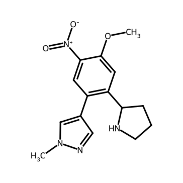 COc1cc(C2CCCN2)c(-c2cnn(C)c2)cc1[N+](=O)[O-]